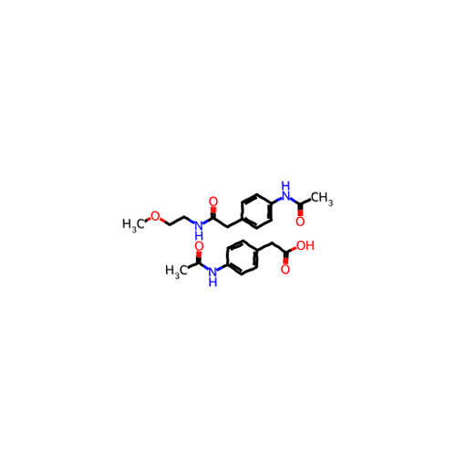 CC(=O)Nc1ccc(CC(=O)O)cc1.COCCNC(=O)Cc1ccc(NC(C)=O)cc1